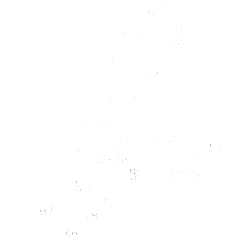 CC(C)(C)OC(=O)c1ccc(C=Cc2ccc3c(c2)OCCO3)cc1Nc1ccc(F)cc1